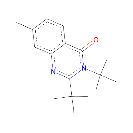 Cc1ccc2c(=O)n(C(C)(C)C)c(C(C)(C)C)nc2c1